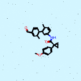 COc1ccc(C2(C(=O)Nc3ccc(C)c(-c4ccc(C=O)cc4C)c3)CC2)cc1